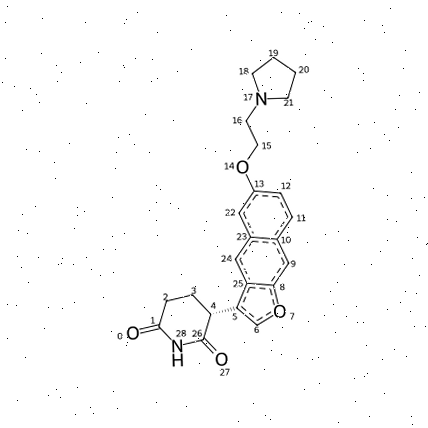 O=C1CC[C@H](c2coc3cc4ccc(OCCN5CCCC5)cc4cc23)C(=O)N1